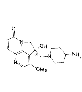 COc1cnc2ccc(=O)n3c2c1[C@](O)(CN1CCC(N)CC1)C3